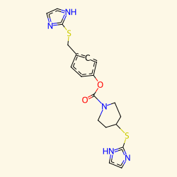 O=C(Oc1ccc(CSc2ncc[nH]2)cc1)N1CCC(Sc2ncc[nH]2)CC1